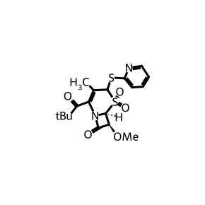 CO[C@H]1C(=O)N2C(C(=O)C(C)(C)C)=C(C)C(Sc3ccccn3)S(=O)(=O)[C@@H]12